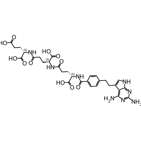 Nc1nc(N)c2c(CCc3ccc(C(=O)N[C@@H](CCC(=O)N[C@@H](CCC(=O)N[C@@H](CCC(=O)O)C(=O)O)C(=O)O)C(=O)O)cc3)c[nH]c2n1